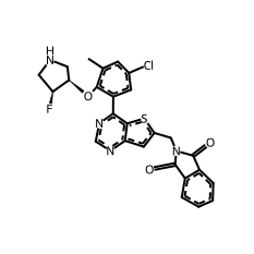 Cc1cc(Cl)cc(-c2ncnc3cc(CN4C(=O)c5ccccc5C4=O)sc23)c1O[C@@H]1CNC[C@@H]1F